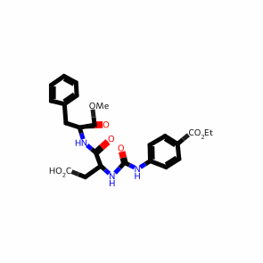 CCOC(=O)c1ccc(NC(=O)NC(CC(=O)O)C(=O)NC(Cc2ccccc2)C(=O)OC)cc1